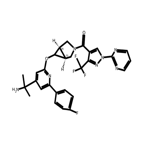 CC(C)(N)c1cc(OC2[C@H]3CN(C(=O)c4cn(-c5ncccn5)nc4C(F)(F)F)C[C@@H]23)nc(-c2ccc(F)cc2)c1